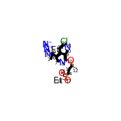 CC[C@@](C)(N=[N+]=[N-])c1cnc(O[C@H](C)CCS(=O)(=O)CC)c2cnc(Cl)cc12